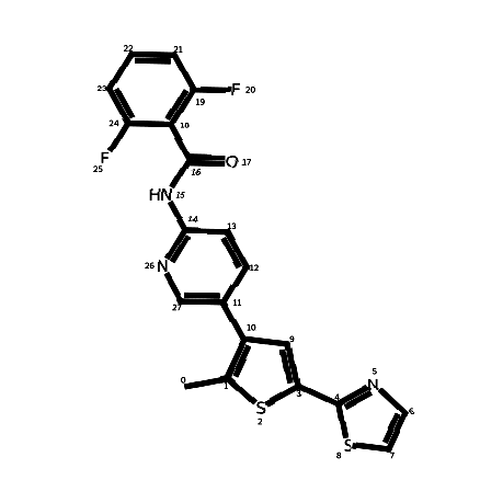 Cc1sc(-c2nccs2)cc1-c1ccc(NC(=O)c2c(F)cccc2F)nc1